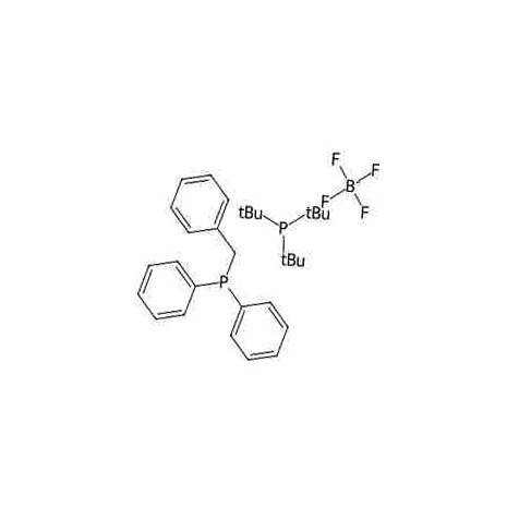 CC(C)(C)P(C(C)(C)C)C(C)(C)C.F[B-](F)(F)F.c1ccc(CP(c2ccccc2)c2ccccc2)cc1